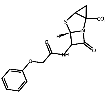 O=C(COc1ccccc1)NC1C(=O)N2[C@H]1SC1CC12C(=O)O